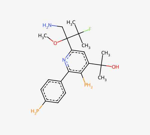 COC(CN)(c1cc(C(C)(C)O)c(P)c(-c2ccc(P)cc2)n1)C(C)(C)F